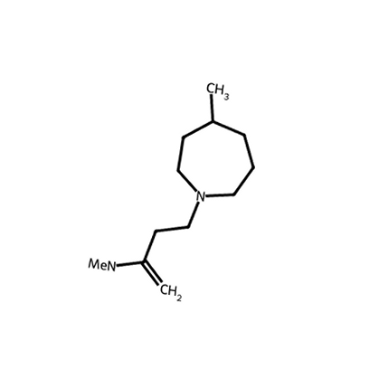 C=C(CCN1CCCC(C)CC1)NC